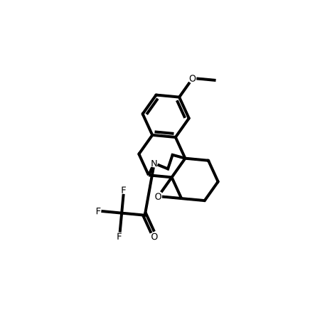 COc1ccc2c(c1)C13CCCC4OC41C(C2)N(C(=O)C(F)(F)F)CC3